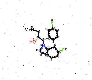 CNC[C@@H](O)[C@H](c1cccc(F)c1)n1ccc2ccc(F)cc21